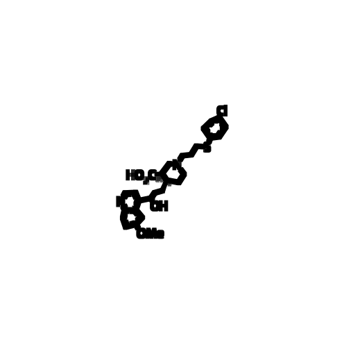 COc1ccc2nccc(C(O)CC[C@@H]3CCN(CCCSc4ccc(Cl)cc4)C[C@@H]3C(=O)O)c2c1